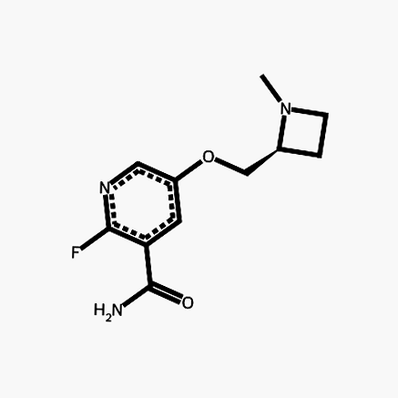 CN1CC[C@H]1COc1cnc(F)c(C(N)=O)c1